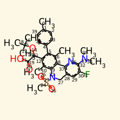 Cc1ccc(-c2c(C)c3c(c(C)c2[C@H](OC(C)(C)C)C(=O)O)N(S(C)(=O)=O)Cc2cc(F)c(N(C)C)nc2-3)cc1